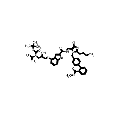 CCCCc1nc(Cl)c(CNC(=O)c2cc3c(OCC(O)CN(C(=O)OC(C)(C)C)C(C)C)cccc3[nH]2)n1Cc1ccc(-c2ccccc2C(=O)OC)cc1